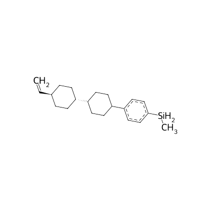 C=C[C@H]1CC[C@H](C2CCC(c3ccc([SiH2]C)cc3)CC2)CC1